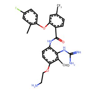 Cc1cc(F)ccc1Oc1cc(C(F)(F)F)ccc1C(=O)Nc1ccc(OCCN)c(C=O)c1NC(=N)N